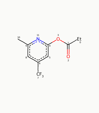 CCC(=O)Oc1cc(C(F)(F)F)cc(C)n1